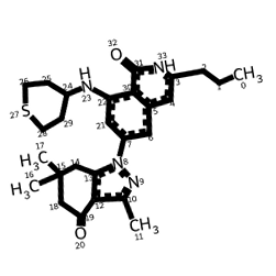 CCCc1cc2cc(-n3nc(C)c4c3CC(C)(C)CC4=O)cc(NC3CCSCC3)c2c(=O)[nH]1